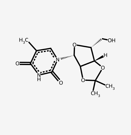 Cc1cn([C@@H]2O[C@H](CO)[C@@H]3OC(C)(C)OC32)c(=O)[nH]c1=O